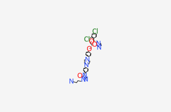 N#CCCCn1ncn(-c2ccc(N3CCN(c4ccc(OC[C@@H]5CO[C@@](Cn6ccnc6)(c6ccc(Cl)cc6Cl)O5)cc4)CC3)cc2)c1=O